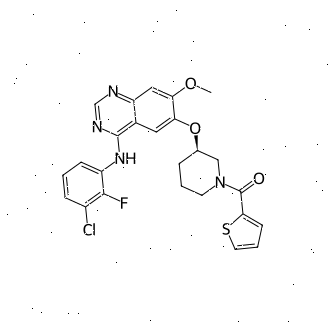 COc1cc2ncnc(Nc3cccc(Cl)c3F)c2cc1O[C@@H]1CCCN(C(=O)c2cccs2)C1